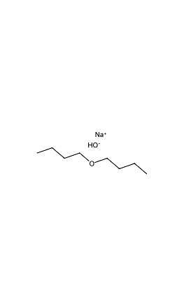 CCCCOCCCC.[Na+].[OH-]